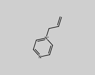 C=CC[n+]1ccncc1